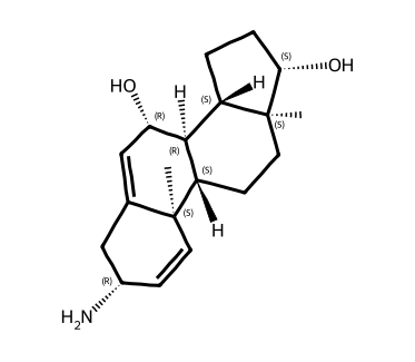 C[C@]12CC[C@H]3[C@@H]([C@@H](O)C=C4C[C@@H](N)C=C[C@@]43C)[C@@H]1CC[C@@H]2O